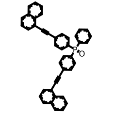 O=P(c1ccccc1)(c1ccc(C#Cc2cccc3ccccc23)cc1)c1ccc(C#Cc2cccc3ccccc23)cc1